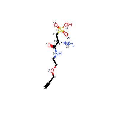 C#CCOCCNC(=O)[C@@H](N)CS(=O)(=O)O